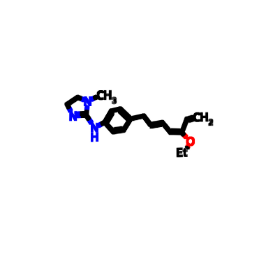 C=C/C(=C\C=C\Cc1ccc(NC2=NCCN2C)cc1)OCC